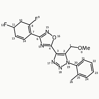 COCc1c(-c2nc(C3=C(F)CC(F)C=C3)no2)nnn1-c1ccccc1C